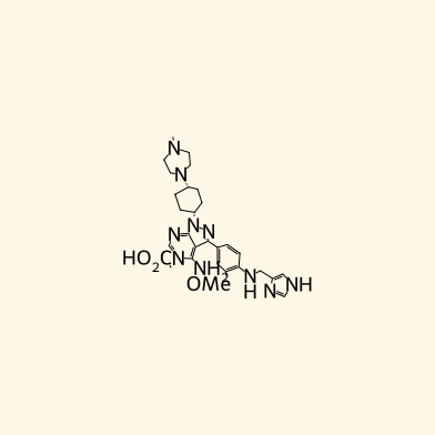 CC(=O)O.COc1cc(-c2nn([C@H]3CC[C@@H](N4CCN(C)CC4)CC3)c3ncnc(N)c23)ccc1NCc1c[nH]cn1